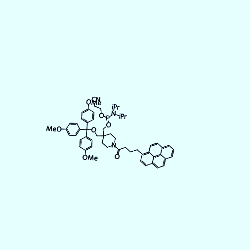 COc1ccc(C(OCC2(COP(OCCC#N)N(C(C)C)C(C)C)CCN(C(=O)CCCc3ccc4ccc5cccc6ccc3c4c56)CC2)(c2ccc(OC)cc2)c2ccc(OC)cc2)cc1